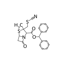 CC1(CSC#N)SC2CC(=O)N2C1C(=O)OC(c1ccccc1)c1ccccc1